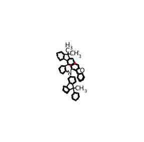 CC1(C)c2ccccc2-c2c(-c3ccccc3N(c3ccc4c(c3)-c3ccccc3C4(C)c3ccccc3)c3cccc4oc5ccccc5c34)cccc21